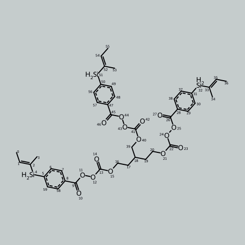 C/C=C(\C)[SiH2]c1ccc(C(=O)OOC(=O)OCCC(CCOC(=O)OOC(=O)c2ccc([SiH2]/C(C)=C/C)cc2)COC(=O)OOC(=O)c2ccc([SiH2]/C(C)=C/C)cc2)cc1